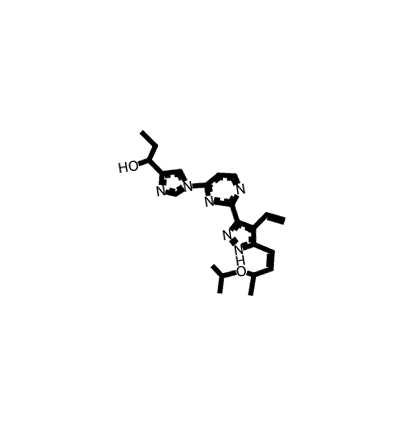 C=Cc1c(-c2nccc(-n3cnc(C(O)CC)c3)n2)n[nH]c1/C=C\C(C)OC(C)C